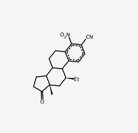 CC[C@H]1C[C@]2(C)C(=O)CCC2C2CCc3c(ccc(C#N)c3[N+](=O)[O-])C21